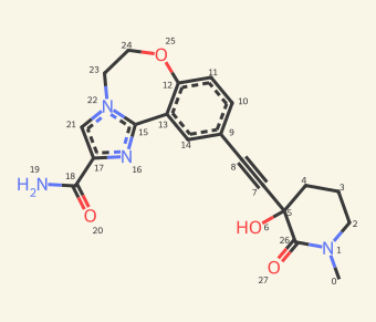 CN1CCCC(O)(C#Cc2ccc3c(c2)-c2nc(C(N)=O)cn2CCO3)C1=O